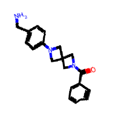 NCc1ccc(N2CC3(CN(C(=O)c4ccccc4)C3)C2)cc1